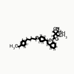 CCc1ccc(CCCCOc2ccc(C=Cc3ccccc3NC(=O)CC(CC)(CC)C(=O)O)cc2)cc1